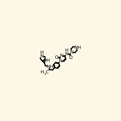 CC(Cc1ccc(-n2ccc(NC(=O)N3CCNCC3)nc2=O)cc1)NCC1C2CNC[C@@H]21